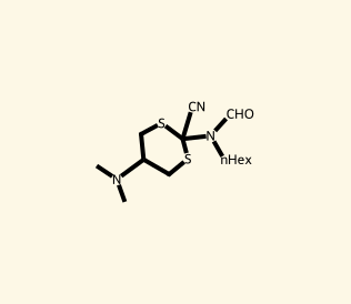 CCCCCCN(C=O)C1(C#N)SCC(N(C)C)CS1